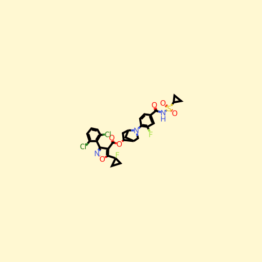 O=C(NS(=O)(=O)C1CC1)c1ccc(N2CC3CC2CC3OC(=O)c2c(-c3c(Cl)cccc3Cl)noc2C2(F)CC2)c(F)c1